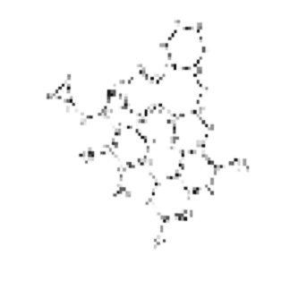 Cc1ccc(C(CC(=O)O)c2ccc(N(N)CC3CC3)c(N)c2C)cc1CN1CC2CCCCN2c2ncccc2[S+]1[O-]